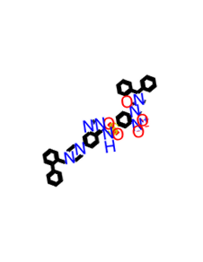 CN(C(=O)N(C)C(c1ccccc1)c1ccccc1)c1ccc(S(=O)(=O)Nc2ncnc3cc(N4CCN(Cc5ccccc5-c5ccccc5)CC4)ccc23)cc1[N+](=O)[O-]